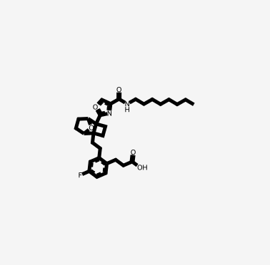 CCCCCCCCNC(=O)c1coc(C23CCC2(CCc2cc(F)ccc2CCC(=O)O)C2CCC3O2)n1